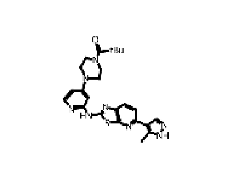 Cc1[nH]ncc1-c1ccc2nc(Nc3cc(N4CCN(C(=O)C(C)(C)C)CC4)ccn3)sc2n1